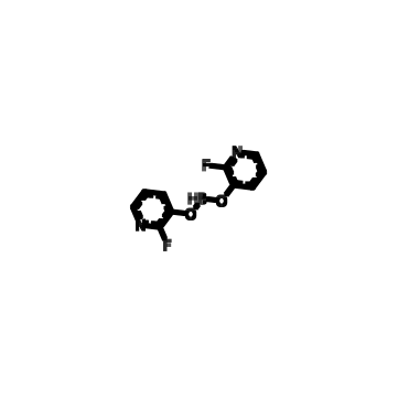 Fc1ncccc1OBOc1cccnc1F